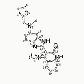 CN(Cc1ccco1)c1ccc2nc(-c3c(N)c4ccccc4[nH]c3=O)[nH]c2c1